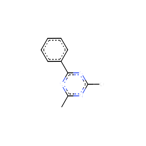 CCc1nc(C)nc(-c2ccccc2)n1